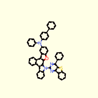 c1ccc(-c2ccc(N(c3ccccc3)c3ccc4oc5c(c4c3)c3ccccc3c3c4ccccc4n(-c4nc(-c6ccccc6)c6sc7ccccc7c6n4)c53)cc2)cc1